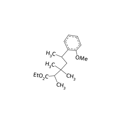 CCOC(=O)C(C)C(C)(C)CC(C)c1ccccc1OC